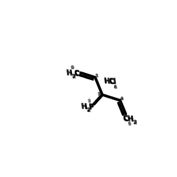 C=CC(P)C=C.Cl